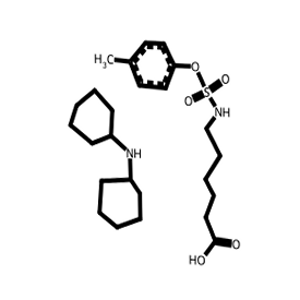 C1CCC(NC2CCCCC2)CC1.Cc1ccc(OS(=O)(=O)NCCCCCC(=O)O)cc1